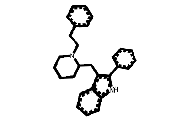 c1ccc(CCN2CCCCC2Cc2c(-c3ccccc3)[nH]c3ccccc23)cc1